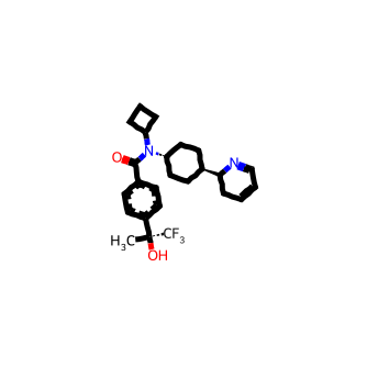 C[C@](O)(c1ccc(C(=O)N(C2CCC2)[C@H]2CC[C@H](C3CC=CC=N3)CC2)cc1)C(F)(F)F